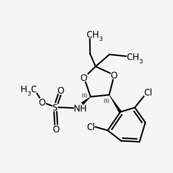 CCC1(CC)O[C@H](NS(=O)(=O)OC)[C@H](c2c(Cl)cccc2Cl)O1